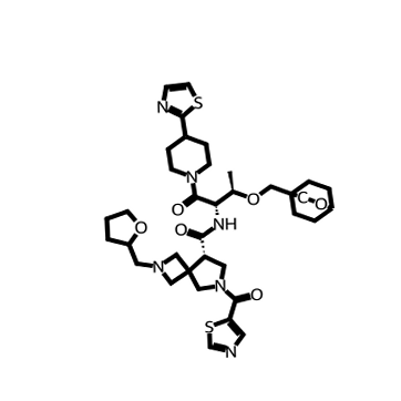 C[C@@H](OCC12CCC(CC1)OC2)[C@H](NC(=O)[C@@H]1CN(C(=O)c2cncs2)CC12CN(CC1CCCO1)C2)C(=O)N1CCC(c2nccs2)CC1